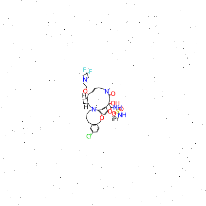 CC(C)NS(=O)(=O)NC(=O)[C@@]1(O)CC(=O)N(C)CC/C=C/[C@H](OCCN2CC(F)(F)C2)[C@@H]2CC[C@H]2CN2CCCCc3cc(Cl)ccc3COc3ccc1cc32